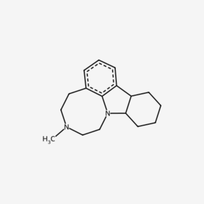 CN1CCc2cccc3c2N(CC1)C1CCCCC31